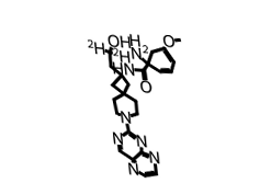 [2H]C([2H])(O)CC1(NC(=O)C2(N)C=CC=C(OC)C2)CC2(CCN(c3ncc4nccnc4n3)CC2)C1